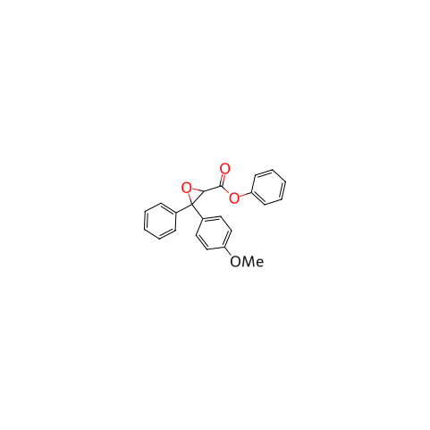 COc1ccc(C2(c3ccccc3)OC2C(=O)Oc2ccccc2)cc1